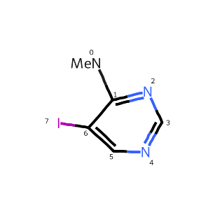 CNc1ncncc1I